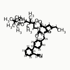 CCc1cc2c(=O)n(CC(=O)C(C)(C)CO[Si](C)(C)C(C)(C)C)c(=O)n(Cc3ccc(-c4ccccc4C#N)cc3)c2s1